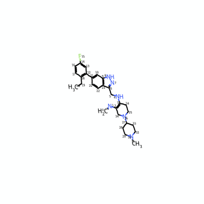 C=NC1=C(NCc2n[nH]c3cc(-c4cc(F)ccc4CC)ccc23)CCN(C2CCN(C)CC2)C1